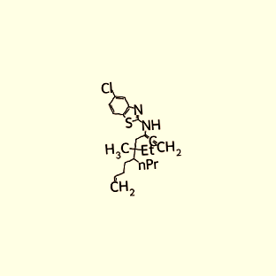 C=C=C(CC(C)(CC)C(CCC)CCC=C)Nc1nc2cc(Cl)ccc2s1